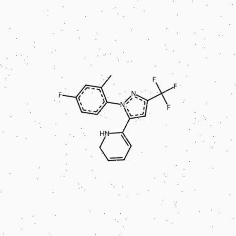 Cc1cc(F)ccc1-n1nc(C(F)(F)F)cc1C1=CC=CCN1